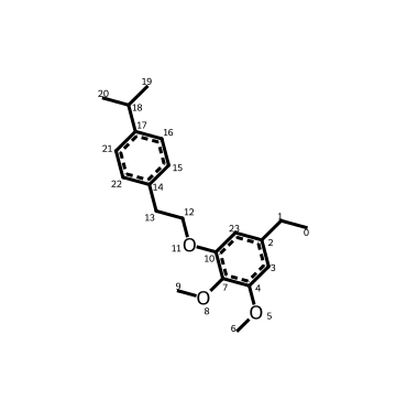 CCc1cc(OC)c(OC)c(OCCc2ccc(C(C)C)cc2)c1